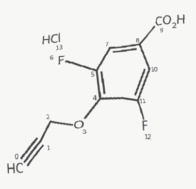 C#CCOc1c(F)cc(C(=O)O)cc1F.Cl